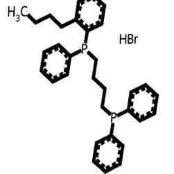 Br.CCCCc1ccccc1P(CCCCP(c1ccccc1)c1ccccc1)c1ccccc1